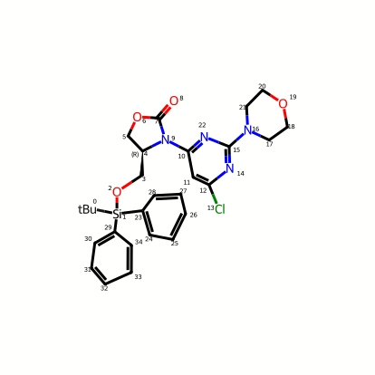 CC(C)(C)[Si](OC[C@H]1COC(=O)N1c1cc(Cl)nc(N2CCOCC2)n1)(c1ccccc1)c1ccccc1